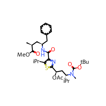 COC(=O)[C@@H](C)C[C@@H](Cc1ccccc1)NC(=O)c1nc([C@@H](C[C@@H](C(C)C)N(C)C(=O)OC(C)(C)C)OC(C)=O)sc1C(C)C